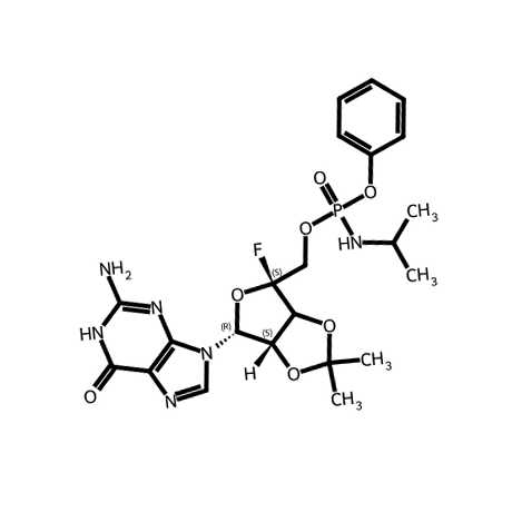 CC(C)NP(=O)(OC[C@@]1(F)O[C@@H](n2cnc3c(=O)[nH]c(N)nc32)[C@H]2OC(C)(C)OC21)Oc1ccccc1